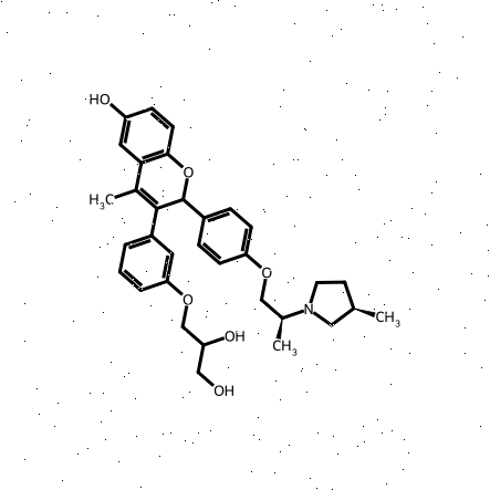 CC1=C(c2cccc(OCC(O)CO)c2)C(c2ccc(OC[C@H](C)N3CC[C@@H](C)C3)cc2)Oc2ccc(O)cc21